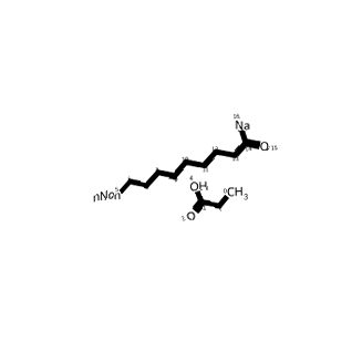 CCC(=O)O.CCCCCCCCCCCCCCCCC[C](=O)[Na]